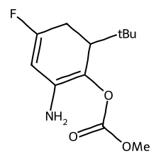 COC(=O)OC1=C(N)C=C(F)CC1C(C)(C)C